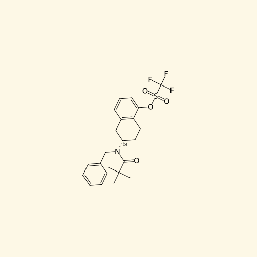 CC(C)(C)C(=O)N(Cc1ccccc1)[C@H]1CCc2c(cccc2OS(=O)(=O)C(F)(F)F)C1